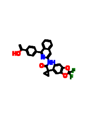 C=C(O)c1ccc(-c2nc(NC(=O)C3(c4ccc5c(c4)OC(F)(F)O5)CC3)cc3ccccc23)cc1